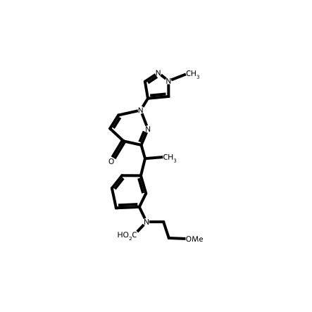 COCCN(C(=O)O)c1cccc(C(C)c2nn(-c3cnn(C)c3)ccc2=O)c1